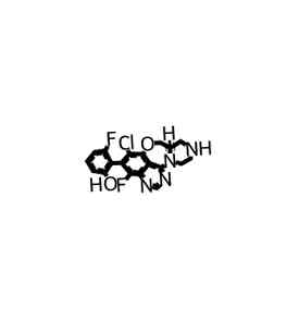 Oc1cccc(F)c1-c1c(Cl)c2c3c(ncnc3c1F)N1CCNC[C@H]1CO2